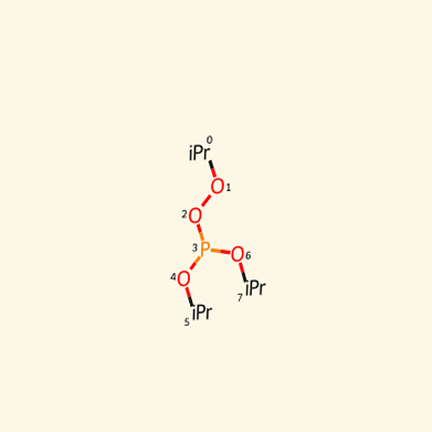 CC(C)OOP(OC(C)C)OC(C)C